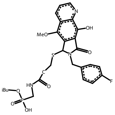 CCC(C)OP(=O)(O)CNC(=O)CCSC1c2c(c(O)c3ncccc3c2OC)C(=O)N1Cc1ccc(F)cc1